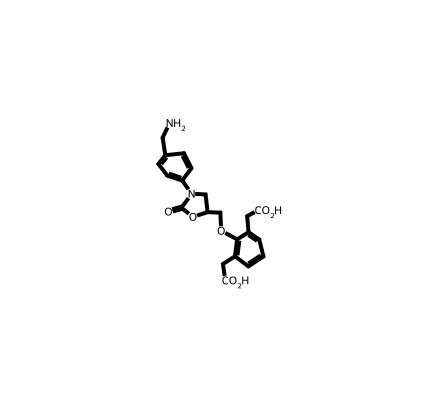 NCc1ccc(N2CC(COc3c(CC(=O)O)cccc3CC(=O)O)OC2=O)cc1